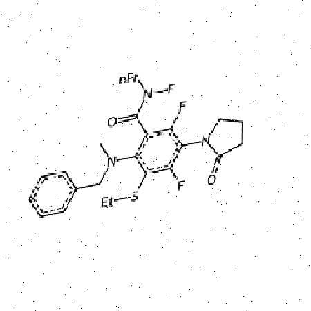 CCCN(F)C(=O)c1c(F)c(N2CCCC2=O)c(F)c(SCC)c1N(C)Cc1ccccc1